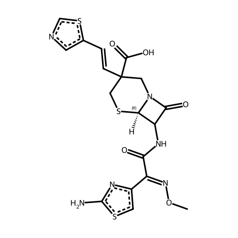 CON=C(C(=O)NC1C(=O)N2CC(C=Cc3cncs3)(C(=O)O)CS[C@H]12)c1csc(N)n1